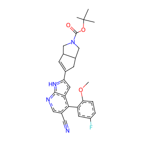 COc1ccc(F)cc1-c1c(C#N)cnc2[nH]c(C3=CC4CN(C(=O)OC(C)(C)C)CC4C3)cc12